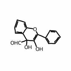 O=CC1(O)C(O)=C(c2ccccc2)Oc2ccccc21